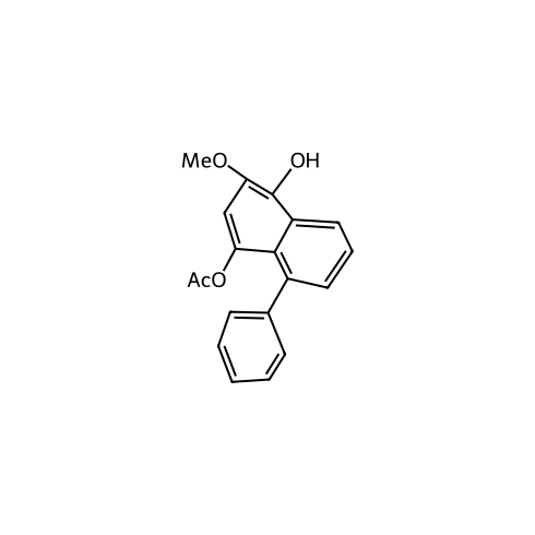 COc1cc(OC(C)=O)c2c(-c3ccccc3)cccc2c1O